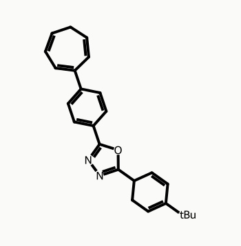 CC(C)(C)C1=CCC(c2nnc(-c3ccc(C4=CC=CCC=C4)cc3)o2)C=C1